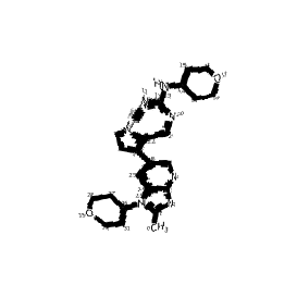 Cc1nc2ncc(-c3ccn4nc(NC5CCOCC5)ncc34)cc2n1C1CCOCC1